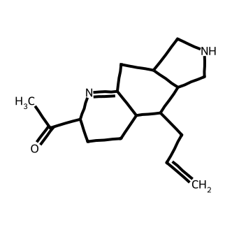 C=CCC1C2CCC(C(C)=O)N=C2CC2CNCC21